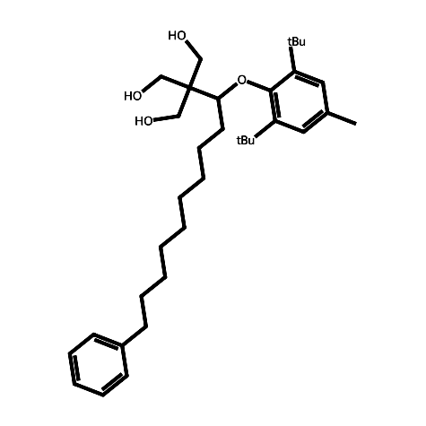 Cc1cc(C(C)(C)C)c(OC(CCCCCCCCCc2ccccc2)C(CO)(CO)CO)c(C(C)(C)C)c1